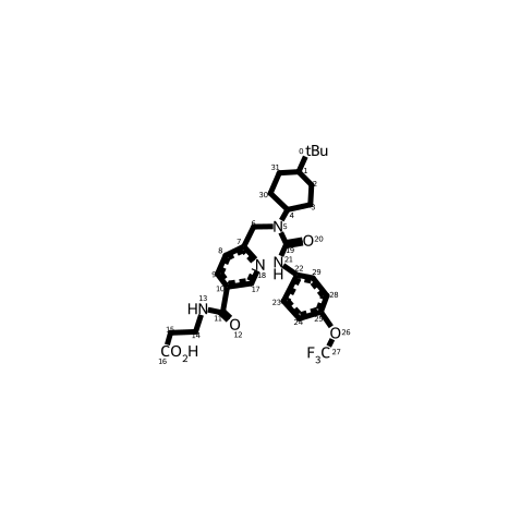 CC(C)(C)C1CCC(N(Cc2ccc(C(=O)NCCC(=O)O)cn2)C(=O)Nc2ccc(OC(F)(F)F)cc2)CC1